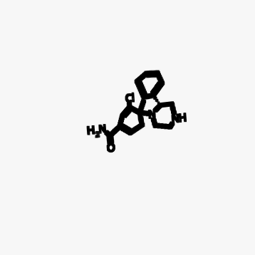 CC1(N2CCNC[C@H]2c2ccccc2)CC=C(C(N)=O)C=C1Cl